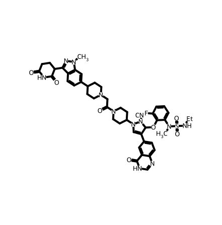 CCNS(=O)(=O)N(C)c1cccc(F)c1OC1C(c2ccc3nc[nH]c(=O)c3c2)=CN(C2CCN(C(=O)CN3CCC(c4ccc5c(C6CCC(=O)NC6=O)nn(C)c5c4)CC3)CC2)N1C#N